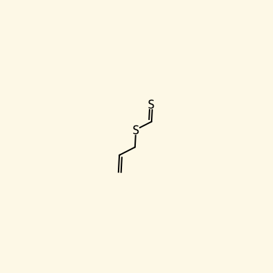 C=CCSC=S